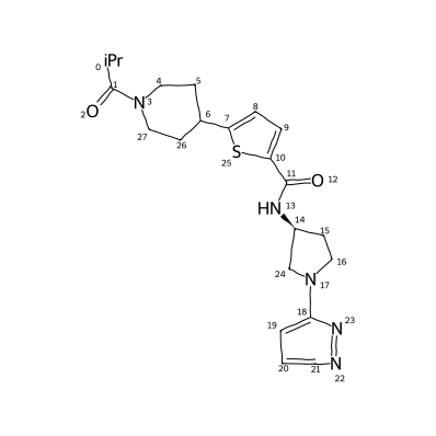 CC(C)C(=O)N1CCC(c2ccc(C(=O)N[C@H]3CCN(c4cccnn4)C3)s2)CC1